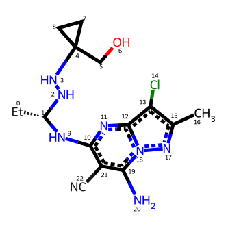 CC[C@H](NNC1(CO)CC1)Nc1nc2c(Cl)c(C)nn2c(N)c1C#N